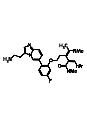 CCC/C=C(C(=O)NC)/C(CCOc1cc(F)ccc1-c1ccc2ncc(CCN)n2c1)=C(/C)NC